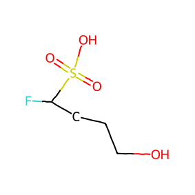 O=S(=O)(O)C(F)CCCO